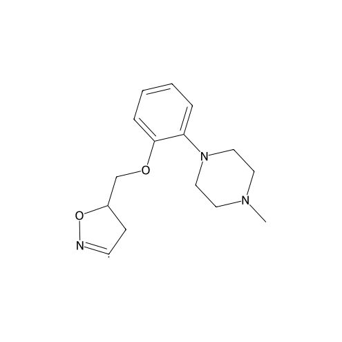 CN1CCN(c2ccccc2OCC2C[C]=NO2)CC1